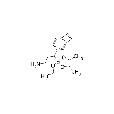 CCO[Si](OCC)(OCC)C(CCN)c1ccc2c(c1)C=C2